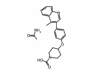 CC(N)=O.Cc1c(-c2ccc(OC3CCN(C(=O)O)CC3)cc2)cnc2ccccc12